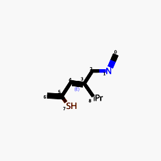 C=NC/C(=C/C(=C)S)C(C)C